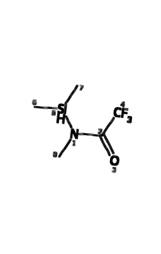 CN(C(=O)C(F)(F)F)[SiH](C)C